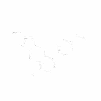 CN(C)c1cc(Oc2cc(C#N)ccc2-c2ncc(CN)cn2)n(C)n1